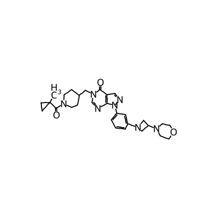 CC1(C(=O)N2CCC(Cn3cnc4c(cnn4-c4cccc(N5CC(N6CCOCC6)C5)c4)c3=O)CC2)CC1